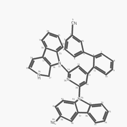 N#Cc1cccc(-c2ccccc2-c2cc(-n3c4c(c5ccccc53)C=CNC4)nc(-n3c4ccccc4c4cc(C#N)ccc43)c2)c1